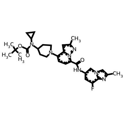 Cc1cn2cc(NC(=O)c3ccc(N4CCC(N(C(=O)OC(C)(C)C)C5CC5)CC4)c4cc(C)nn34)cc(F)c2n1